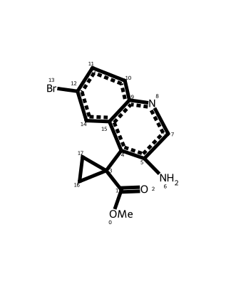 COC(=O)C1(c2c(N)cnc3ccc(Br)cc23)CC1